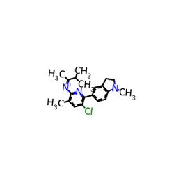 C/C(=N/c1nc(-c2ccc3c(c2)CCN3C)c(Cl)cc1C)C(C)C